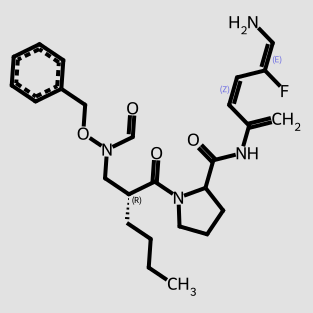 C=C(/C=C\C(F)=C/N)NC(=O)C1CCCN1C(=O)[C@H](CCCC)CN(C=O)OCc1ccccc1